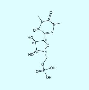 Cn1cc([C@@H]2O[C@H](COP(=O)(O)O)[C@@H](O)[C@H]2O)c(=O)n(C)c1=O